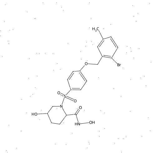 Cc1ccc(Br)c(COc2ccc(S(=O)(=O)N3CC(O)CCC3C(=O)NO)cc2)c1